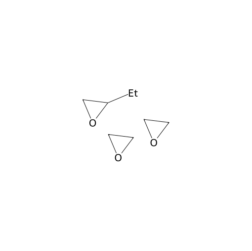 C1CO1.C1CO1.CCC1CO1